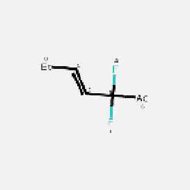 CC/C=C/C(F)(F)C(C)=O